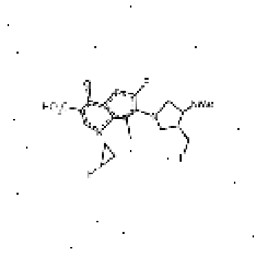 CN[C@@H]1CN(c2c(F)cc3c(=O)c(C(=O)O)cn([C@@H]4C[C@@H]4F)c3c2C)C[C@@H]1CF